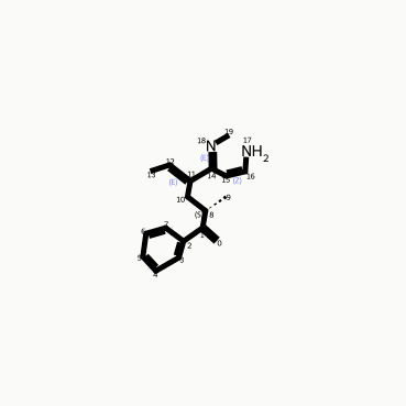 C=C(c1ccccc1)[C@@H](C)CC(=C\C)/C(/C=C\N)=N/C